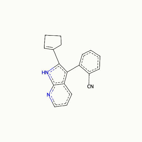 N#Cc1ccccc1-c1c(C2=CCCC2)[nH]c2ncccc12